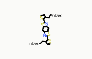 CCCCCCCCCCCCc1ccsc1-c1nc2cc3sc(-c4sccc4CCCCCCCCCCCC)nc3cc2s1